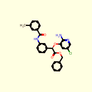 Cc1cccc(C(=O)Nc2cccc([C@@H](Oc3cc(Cl)cnc3N)C(=O)OCc3ccccc3)c2)c1